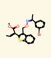 CC=C(C(=O)OC)c1sc2ccccc2c1CON=C(C)c1cccc(Br)c1